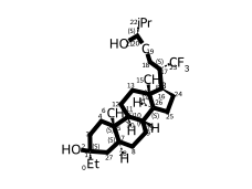 CC[C@]1(O)CC[C@@]2(C)[C@@H](CC[C@@H]3[C@@H]2CC[C@]2(C)[C@@H]([C@H](CC[C@H](O)C(C)C)C(F)(F)F)CC[C@@H]32)C1